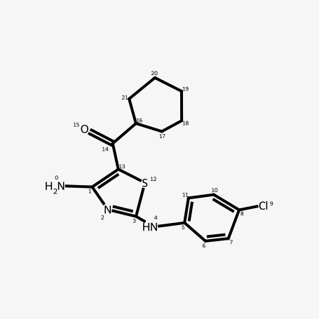 Nc1nc(Nc2ccc(Cl)cc2)sc1C(=O)C1CCCCC1